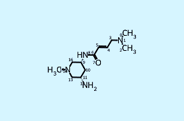 CN(C)C/C=C/C(=O)N[C@@H]1C[C@H](N)CN(C)C1